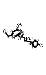 CCc1ccc(CNc2nc3nc(CCl)cc(O)n3n2)cc1